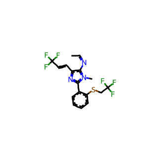 C/C=N\c1c(/C=C/C(F)(F)F)nc(-c2ccccc2SCC(F)(F)F)n1C